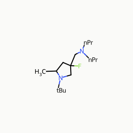 CCCN(CCC)CC1(F)CC(C)N(C(C)(C)C)C1